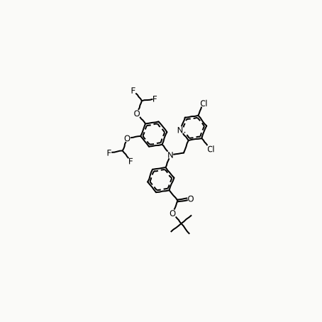 CC(C)(C)OC(=O)c1cccc(N(Cc2ncc(Cl)cc2Cl)c2ccc(OC(F)F)c(OC(F)F)c2)c1